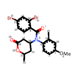 COc1ccc(N(C(=O)c2ccc(Br)cc2Br)C2CC(=O)OC(C)C2)c(C)c1